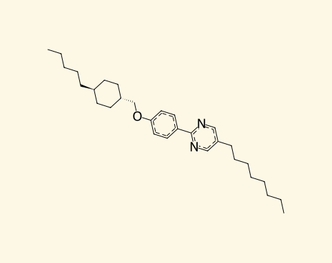 CCCCCCCCc1cnc(-c2ccc(OC[C@H]3CC[C@H](CCCCC)CC3)cc2)nc1